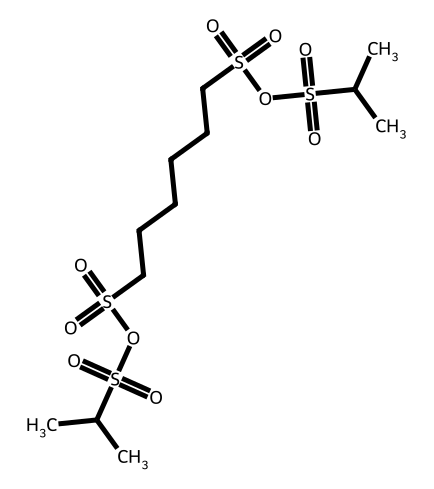 CC(C)S(=O)(=O)OS(=O)(=O)CCCCCCS(=O)(=O)OS(=O)(=O)C(C)C